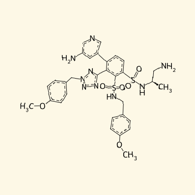 COc1ccc(CNS(=O)(=O)c2c(S(=O)(=O)N[C@H](C)CN)ccc(-c3cncc(N)c3)c2-c2nnn(Cc3ccc(OC)cc3)n2)cc1